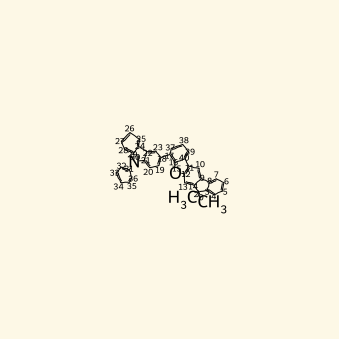 CC1(C)c2ccccc2-c2cc3c(cc21)oc1c(-c2ccc4c(c2)c2ccccc2n4-c2ccccc2)cccc13